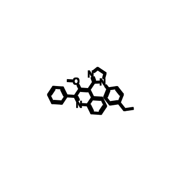 CCc1ccc(N2CCN=C2c2c(OC)c(-c3ccccc3)nc3ccccc23)cc1